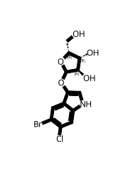 OC[C@H]1OC(Oc2c[nH]c3cc(Cl)c(Br)cc23)[C@H](O)[C@H]1O